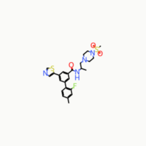 Cc1ccc(-c2cc(C(=O)NC(C)CN3CCN(S(C)(=O)=O)CC3)cc(-c3cncs3)c2)c(F)c1